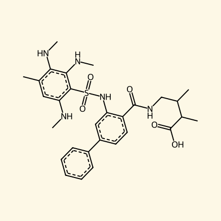 CNc1cc(C)c(NC)c(NC)c1S(=O)(=O)Nc1cc(-c2ccccc2)ccc1C(=O)NCC(C)C(C)C(=O)O